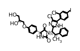 C[C@@H](c1ccccc1)[C@@H](c1nc(Cl)c(-c2ccc(I)cc2Cl)[nH]1)N1C(=O)N[C@H](c2ccc(OC[C@H](O)CO)cc2)C1=O